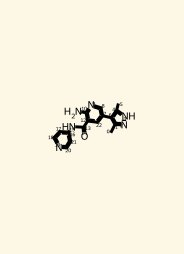 Cc1n[nH]c(C)c1-c1cnc(N)c(C(=O)Nc2ccncc2)c1